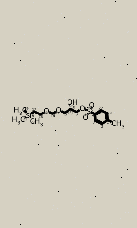 Cc1ccc(S(=O)(=O)OC[C@@H](O)COCOCC[Si](C)(C)C)cc1